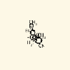 C=C1/C=C(C#N)\C=C/C/C(C)=C(/C(C)(C)C2=C(C=O)C=C(CC)C(N3CCC(C)CC3)=CC2)N1